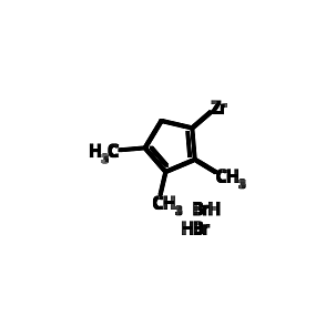 Br.Br.CC1=C(C)C(C)=[C]([Zr])C1